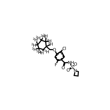 [2H]C1([2H])C([2H])([2H])C([2H])([2H])C([2H])(COc2cc(F)c(C(=O)NS(=O)(=O)N3CCC3)cc2Cl)C([2H])([2H])C1([2H])[2H]